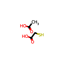 CC(=O)O.O=C(O)CS